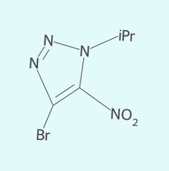 CC(C)n1nnc(Br)c1[N+](=O)[O-]